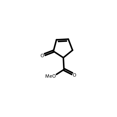 COC(=O)C1CC=CC1=O